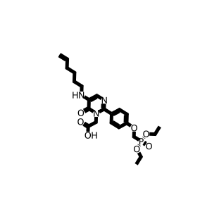 C=CCCCCNc1cnc(-c2ccc(OCP(=O)(OCC)OCC)cc2)n(CC(=O)O)c1=O